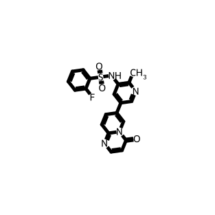 Cc1ncc(-c2ccc3nccc(=O)n3c2)cc1NS(=O)(=O)c1ccccc1F